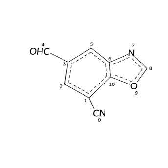 N#Cc1cc(C=O)cc2ncoc12